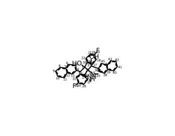 CNC[C@H](c1ccc2ccccc2c1)C(O)(c1ccc(F)cc1)C(NC)(c1ccc(F)cc1)C(CO)c1ccc2ccccc2c1